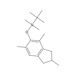 Cc1cc2c(c(C)c1O[Si](C)(C)C(C)(C)C)CC(C)C2